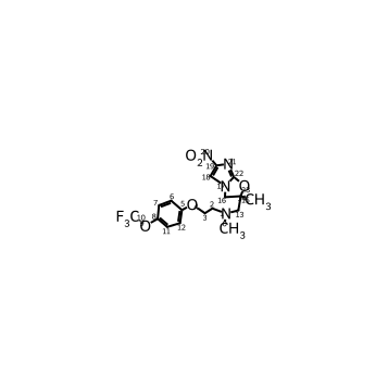 CN(CCOc1ccc(OC(F)(F)F)cc1)CC1(C)Cn2cc([N+](=O)[O-])nc2O1